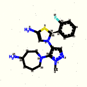 CCn1ncc(N2C=C(N)S[C@@H]2c2ccccc2F)c1N1CCCC(N)CC1